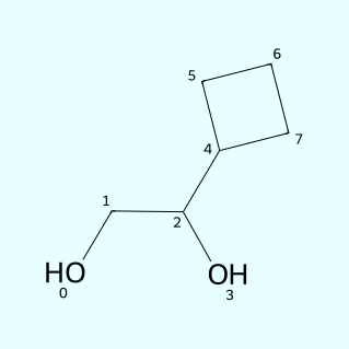 OCC(O)C1CCC1